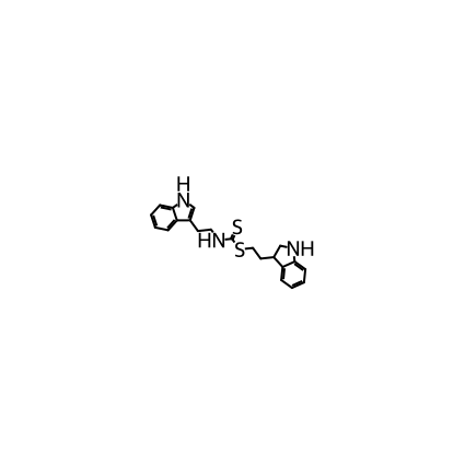 S=C(NCCc1c[nH]c2ccccc12)SCCC1CNc2ccccc21